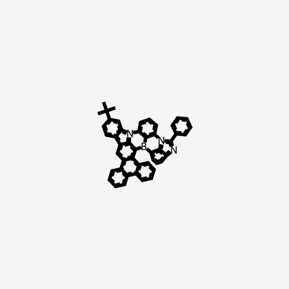 CC(C)(C)c1ccc2c3cc4c5ccccc5c5ccccc5c4c4c3n(c2c1)-c1cccc2c1B4c1cccc3nc(-c4ccccc4)n-2c13